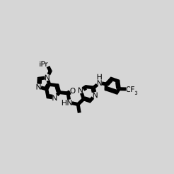 CC(C)Cn1cnc2cnc(C(=O)NC(C)c3cnc(Nc4ccc(C(F)(F)F)cc4)cn3)cc21